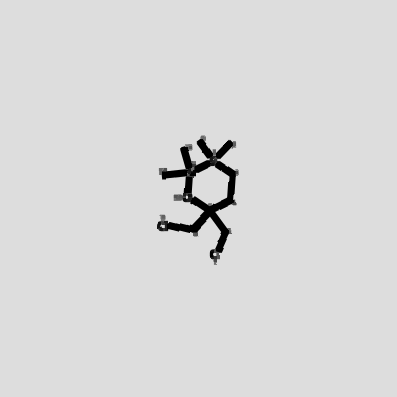 C[Si]1(C)CCC(CCl)(CCl)O[Si]1(C)C